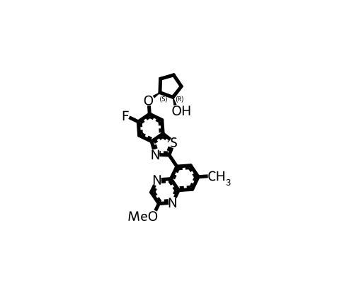 COc1cnc2c(-c3nc4cc(F)c(O[C@H]5CCC[C@H]5O)cc4s3)cc(C)cc2n1